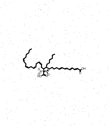 CCCCC/C=C\C/C=C\C/C=C\C/C=C\CC(C(CCCCC=CC=CC=CC=CC(=O)O)CCCCCC)C(C(=O)O)([N+](=O)[O-])[N+](=O)[O-]